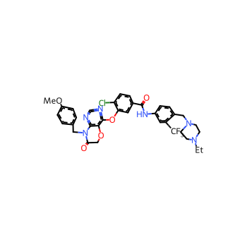 CCN1CCN(Cc2ccc(NC(=O)c3ccc(Cl)c(Oc4ncnc5c4OCC(=O)N5Cc4ccc(OC)cc4)c3)cc2C(F)(F)F)CC1